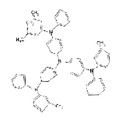 C=C/C=C(\C=C(C)C)N(C1=CCC(N(c2ccc(N(c3ccccc3)c3cccc(C)c3)cc2)c2ccc(N(c3ccccc3)c3cccc(C)c3)cc2)C=C1)c1ccccc1